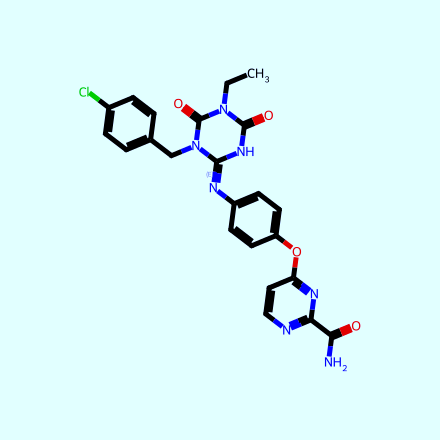 CCn1c(=O)[nH]/c(=N\c2ccc(Oc3ccnc(C(N)=O)n3)cc2)n(Cc2ccc(Cl)cc2)c1=O